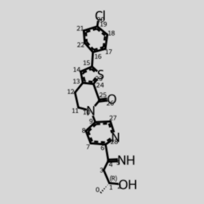 C[C@@H](O)CC(=N)c1ccc(N2CCc3cc(-c4ccc(Cl)cc4)sc3C2=O)cn1